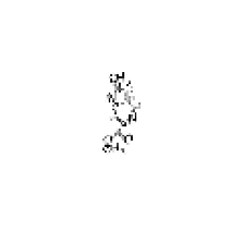 COC(=O)c1cc2nn(C)cc2cn1